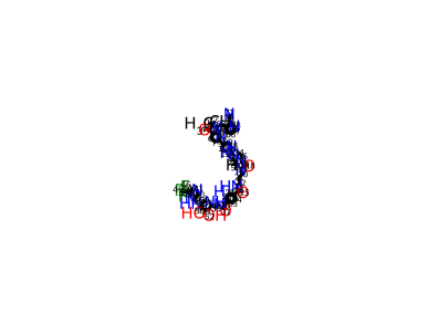 CC1(C)C(=O)c2ccc(-c3cnc(N4CCN5C(=O)N(CCCNC(=O)c6ccc(C(=O)NC[C@H]7NC[C@H](Nc8cncc(C(F)(F)F)n8)[C@@H](O)[C@H]7O)cc6)C[C@@H]5C4)nc3)nc2N1Cc1cccnc1C#N